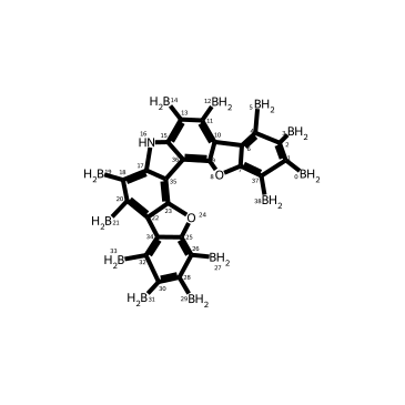 Bc1c(B)c(B)c2c(oc3c2c(B)c(B)c2[nH]c4c(B)c(B)c5c(oc6c(B)c(B)c(B)c(B)c65)c4c23)c1B